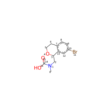 CN(CC1OCCc2ccc(Br)cc21)C(=O)O